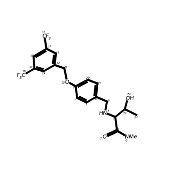 CNC(=O)C(NCc1ccc(OCc2cc(C(F)(F)F)cc(C(F)(F)F)c2)cc1)C(C)O